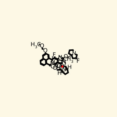 C#Cc1cccc2cc(OCOC)cc(-c3nc4c5c(nc(OC[C@]67CCCN6C[C@@H](F)C7)nc5c3F)N3C[C@@H]5CC[C@H]([C@@H]3CO4)N5C(=O)OC(C)(C)C)c12